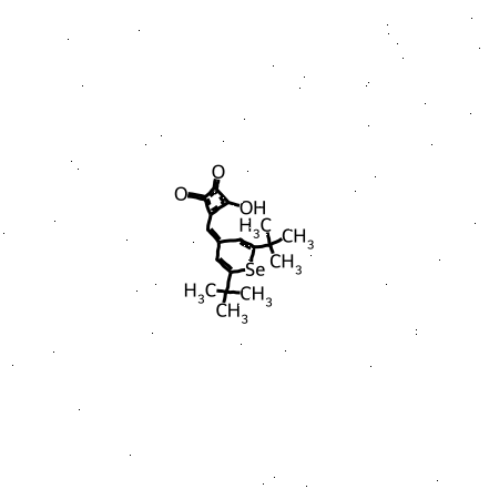 CC(C)(C)C1=CC(=Cc2c(O)c(=O)c2=O)C=C(C(C)(C)C)[Se]1